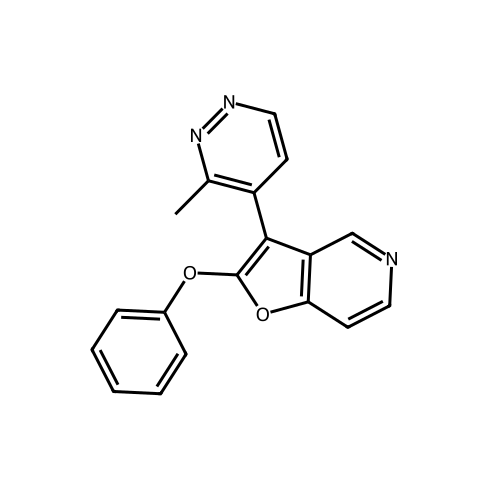 Cc1nnccc1-c1c(Oc2ccccc2)oc2ccncc12